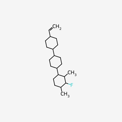 C=CC1CCC(C2CCC(C3CCC(C)C(F)C3C)CC2)CC1